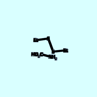 CCSSCC.NC(=O)O